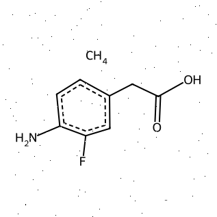 C.Nc1ccc(CC(=O)O)cc1F